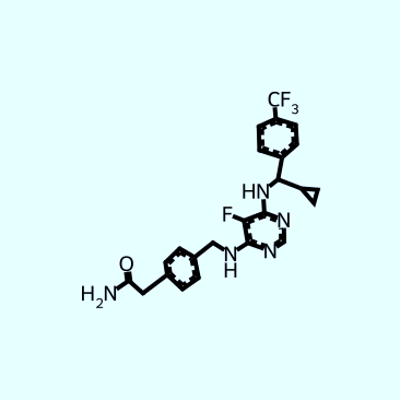 NC(=O)Cc1ccc(CNc2ncnc(NC(c3ccc(C(F)(F)F)cc3)C3CC3)c2F)cc1